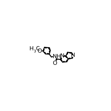 COc1cccc(CNC(=O)c2ccc3cnccc3n2)c1